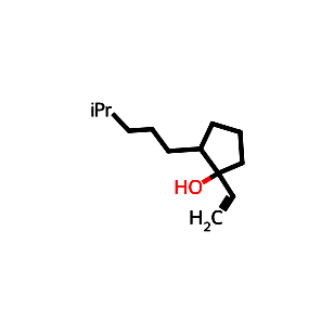 C=CC1(O)CCCC1CCCC(C)C